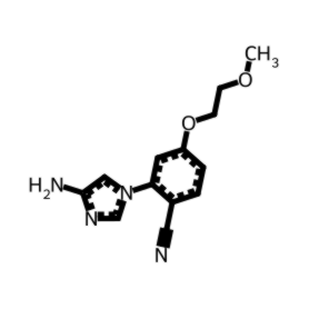 COCCOc1ccc(C#N)c(-n2cnc(N)c2)c1